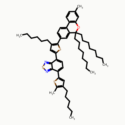 CCCCCCCCC1(CCCCCCCC)Oc2cc(C)ccc2-c2ccc(-c3sc(-c4ccc(-c5cc(CCCCCC)c(C)s5)c5nsnc45)cc3CCCCCC)cc21